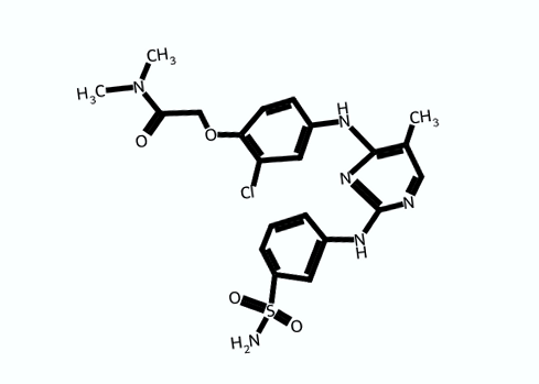 Cc1cnc(Nc2cccc(S(N)(=O)=O)c2)nc1Nc1ccc(OCC(=O)N(C)C)c(Cl)c1